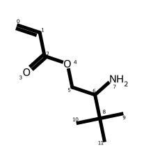 C=CC(=O)OCC(N)C(C)(C)C